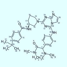 CN(C)C(=O)C(c1ccc(Nc2nc(N3CCC[C@H](NC(=O)c4ccc(C(C)(C)C)cc4)C3)nc3nccn23)cc1)N(C)C